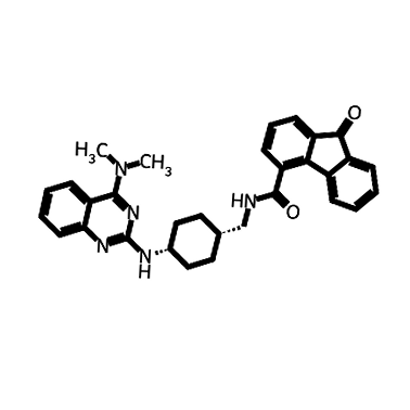 CN(C)c1nc(N[C@H]2CC[C@@H](CNC(=O)c3cccc4c3-c3ccccc3C4=O)CC2)nc2ccccc12